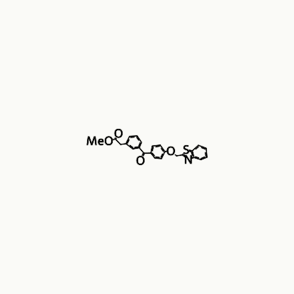 COC(=O)Cc1cccc(C(=O)c2ccc(OCc3nc4ccccc4s3)cc2)c1